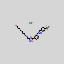 CCCCCCCCCCCc1noc(-c2cccc(CNCc3ccc(C(F)(F)F)cc3)c2)n1.Cl